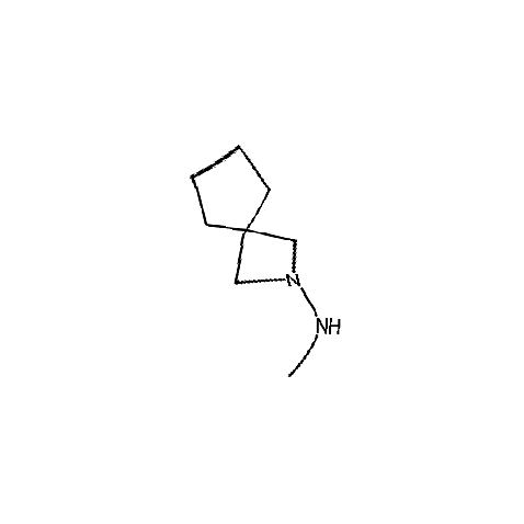 CNN1CC2(CCCC2)C1